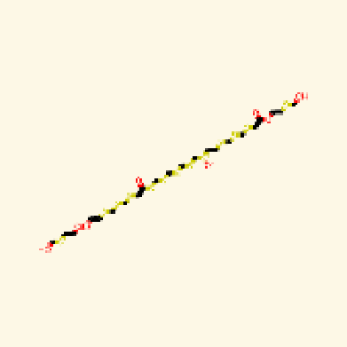 O=C(CSCSCSCC[S+]([O-])CSCSCSCSC(=O)CSCSCSCCOOCCSCO)OCCSCO